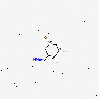 C[C@@H]1C(C=N)C[C@H](Br)C[C@@H]1C